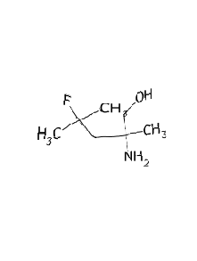 CC(C)(F)CC(C)(N)CO